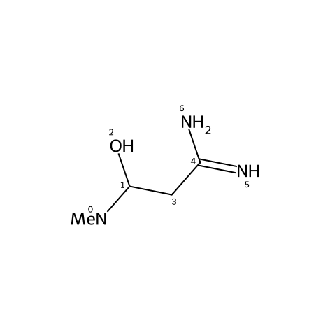 CNC(O)CC(=N)N